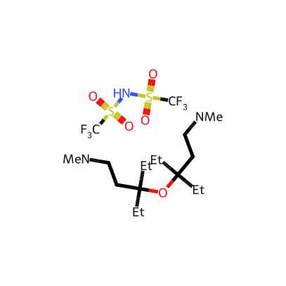 CCC(CC)(CCNC)OC(CC)(CC)CCNC.O=S(=O)(NS(=O)(=O)C(F)(F)F)C(F)(F)F